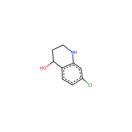 OC1CCNc2cc(Cl)ccc21